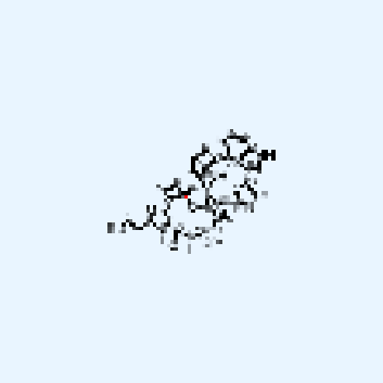 CC/C=C/C(=O)N[C@H]1Cc2ccc3c(c2)[C@]24c5cccc(c5NC2O3)-c2cccc3[nH]cc(c23)-c2cnc(o2)-c2nc(oc24)[C@H](C(C)C)NC1=O